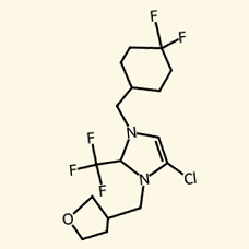 FC1(F)CCC(CN2C=C(Cl)N(CC3CCOC3)C2C(F)(F)F)CC1